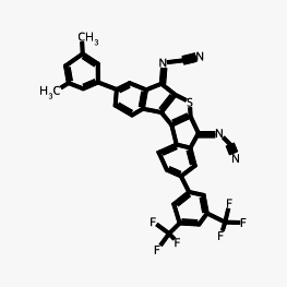 Cc1cc(C)cc(-c2ccc3c(c2)/c(=N/C#N)c2sc4/c(=N/C#N)c5cc(-c6cc(C(F)(F)F)cc(C(F)(F)F)c6)ccc5c4c23)c1